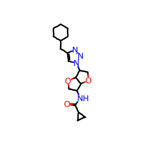 O=C(NC1COC2C1OCC2n1cc(CC2CCCCC2)nn1)C1CC1